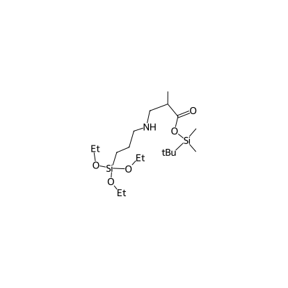 CCO[Si](CCCNCC(C)C(=O)O[Si](C)(C)C(C)(C)C)(OCC)OCC